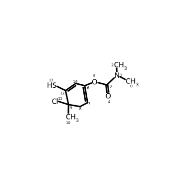 CN(C)C(=O)OC1=CCC(C)(Cl)C(S)=C1